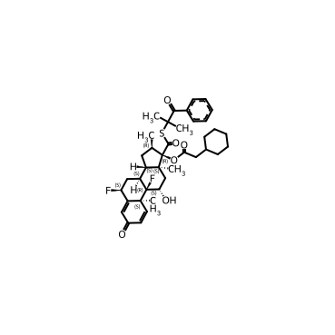 C[C@@H]1C[C@H]2[C@@H]3C[C@H](F)C4=CC(=O)C=C[C@]4(C)[C@@]3(F)[C@@H](O)C[C@]2(C)[C@@]1(OC(=O)CC1CCCCC1)C(=O)SC(C)(C)C(=O)c1ccccc1